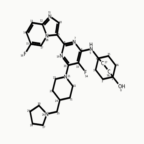 OC12CCC(Nc3nc(-c4cnc5ccc(F)cn45)nc(N4CCC(CN5CCCC5)CC4)c3F)(CC1)CC2